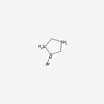 Br[SiH]1C[SiH2]C[SiH2]1